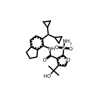 CC(C)(O)c1coc(S(N)(=O)=O)c1C(=O)Nc1c(C(C2CC2)C2CC2)ccc2c1CCC2